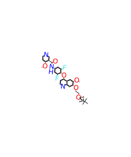 COc1cc2c(Oc3c(F)cc(NC(=O)c4cnccc4OC)cc3F)ccnc2cc1OCCO[Si](C)(C)C(C)(C)C